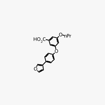 CCCOc1cc(Oc2ccc(-c3ccoc3)cc2)cc(C(=O)O)c1